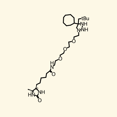 C[C@@H]1NC(=O)N[C@@H]1CCCCCC(=O)NCCOCCOCCOCCN1CC(CC(C)(C)C)(C2CCCCCCC2)NN1